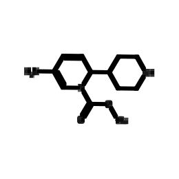 CC(C)(C)OC(=O)N1C=C(N)C=CC1C1CCNCC1